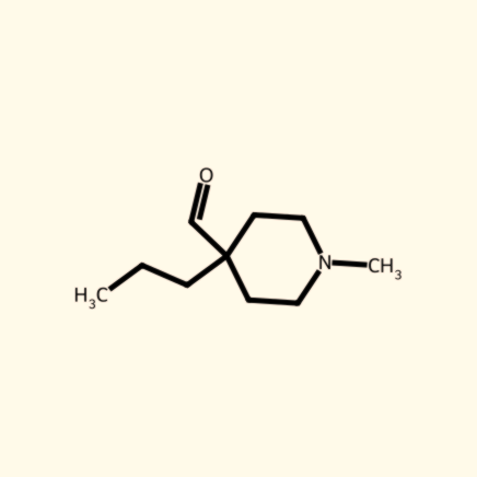 CCCC1(C=O)CCN(C)CC1